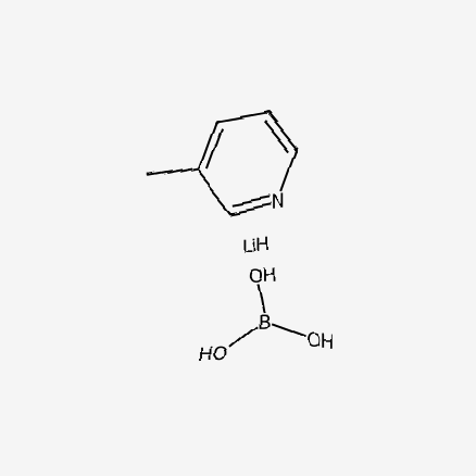 Cc1cccnc1.OB(O)O.[LiH]